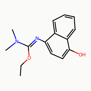 CCOC(=Nc1ccc(O)c2ccccc12)N(C)C